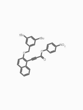 CC(C)(C)c1cc(COc2ccc3ccccc3c2C#CC(=O)Oc2ccc([N+](=O)[O-])cc2)cc(C(C)(C)C)c1